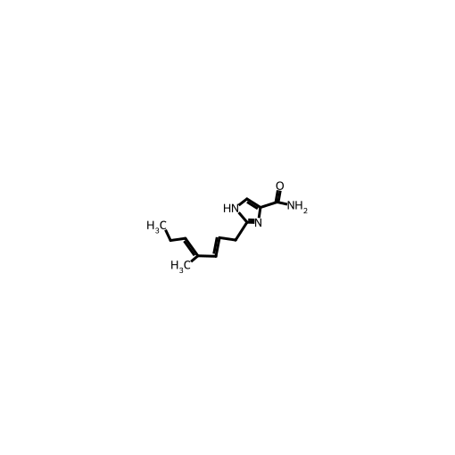 CCC=C(C)C=CCc1nc(C(N)=O)c[nH]1